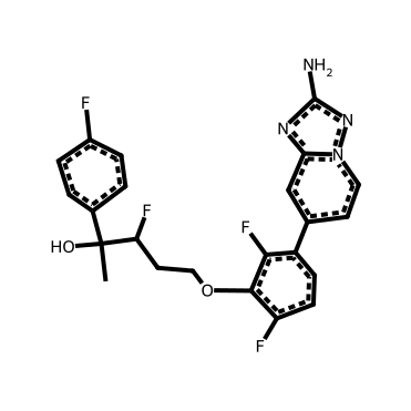 CC(O)(c1ccc(F)cc1)C(F)CCOc1c(F)ccc(-c2ccn3nc(N)nc3c2)c1F